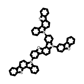 c1ccc2c(c1)oc1ccc(-n3c4ccc(-n5c6ccccc6c6c7sc8ccccc8c7ccc65)cc4c4c5oc6ccc(-n7c8ccccc8c8c9sc%10ccccc%10c9ccc87)cc6c5ccc43)cc12